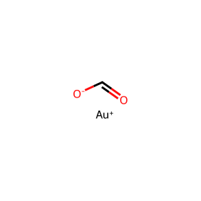 O=C[O-].[Au+]